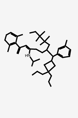 C=C(/C=C(/CCC(CC(C)(C)C(C)(C)CC)C(c1cccc(C)c1)C1CC(CCC)(CCC)C1)NC(C)C)C1=C(C)CCC=C1C